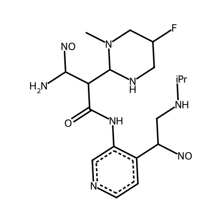 CC(C)NCC(N=O)c1ccncc1NC(=O)C(C(N)N=O)C1NCC(F)CN1C